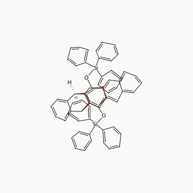 C1=CC2=C(CC1)[C@@H]1c3ccccc3C2c2c1c(O[Si](c1ccccc1)(c1ccccc1)c1ccccc1)c1cc3ccccc3cc1c2O[Si](c1ccccc1)(c1ccccc1)c1ccccc1